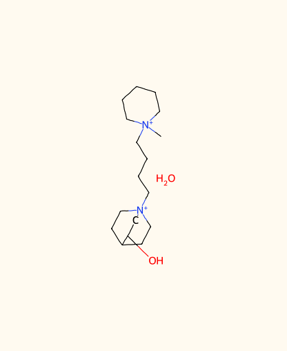 C[N+]1(CCCC[N+]23CCC(CC2)C(O)C3)CCCCC1.O